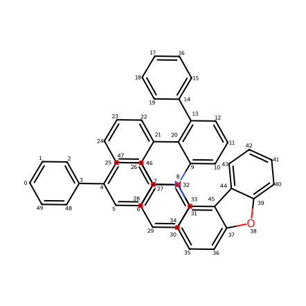 c1ccc(-c2ccc(N(c3cccc(-c4ccccc4)c3-c3ccccc3-c3ccccc3)c3cccc4oc5ccccc5c34)cc2)cc1